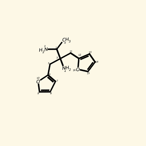 CC(N)C(N)(Cc1ccco1)Cc1ccco1